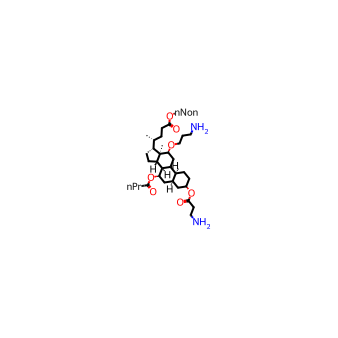 CCCCCCCCCOC(=O)CC[C@@H](C)[C@H]1CC[C@H]2[C@@H]3[C@H](OC(=O)CCC)C[C@@H]4C[C@H](OC(=O)CCN)CC[C@]4(C)[C@H]3C[C@H](OCCCN)[C@]12C